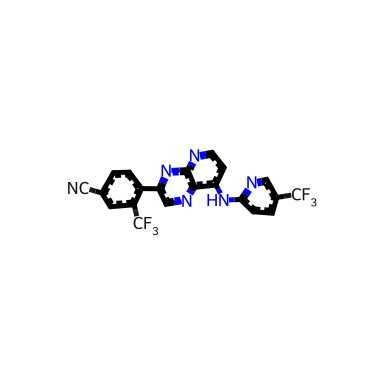 N#Cc1ccc(-c2cnc3c(Nc4ccc(C(F)(F)F)cn4)ccnc3n2)c(C(F)(F)F)c1